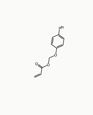 C=CC(=O)OCOc1ccc(CCC)cc1